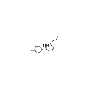 CCCN1C=CCN(c2ccc(C)cc2)N1